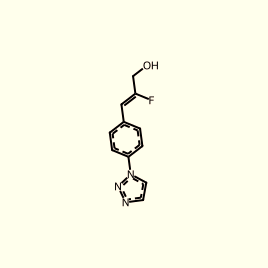 OCC(F)=Cc1ccc(-n2ccnn2)cc1